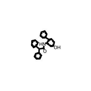 O=C(Nc1cc(O)ccc1-c1ccccc1)C(c1ccccc1)c1ccccc1